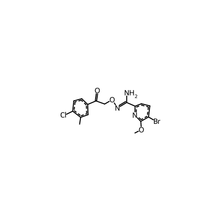 COc1nc(/C(N)=N/OCC(=O)c2ccc(Cl)c(C)c2)ccc1Br